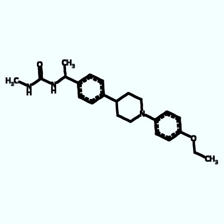 CCOc1ccc(N2CCC(c3ccc(C(C)NC(=O)NC)cc3)CC2)cc1